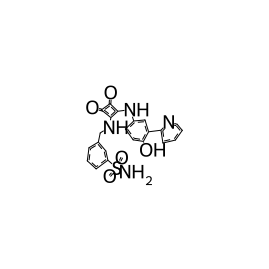 NS(=O)(=O)c1cccc(CNc2c(Nc3ccc(O)c(-c4ccccn4)c3)c(=O)c2=O)c1